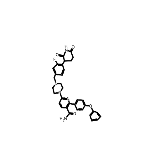 NC(=O)c1ccc(N2CCN(Cc3ccc(C4CCC(=O)NC4=O)c(F)c3)CC2)nc1-c1ccc(Oc2ccccc2)cc1